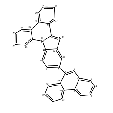 c1ccc2c(c1)cc(-c1ccc3c(c1)nc1c4ccccc4c4ccccc4n31)c1ccccc12